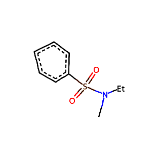 CCN(C)S(=O)(=O)c1ccccc1